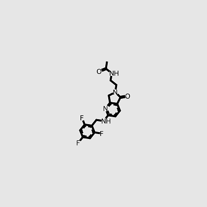 CC(=O)NCCN1Cc2nc(NCc3c(F)cc(F)cc3F)ccc2C1=O